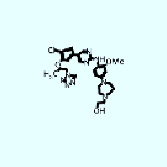 COc1cc(N2CCCN(CCO)CC2)ccc1Nc1ncc(-c2ccc(Cl)c(OC(C)Cn3cnnn3)c2)cn1